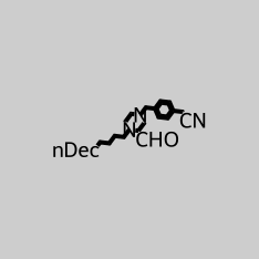 CCCCCCCCCCCCCCN1CCN(Cc2ccc(CC#N)cc2)CC1C=O